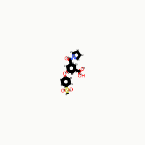 CS(=O)(=O)c1ccc(Oc2cc(C(=O)O)cc(C(=O)N3CCCC3)c2)cc1